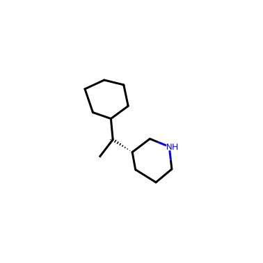 C[C](C1CCCCC1)[C@H]1CCCNC1